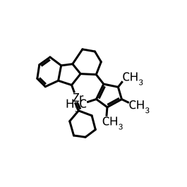 CC1=C(C)C(C)C(C2CCCC3C4C=CC=CC4[CH]([Zr]=[C]4CCCCC4)C23)=C1C